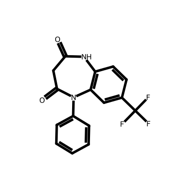 O=C1CC(=O)N(c2ccccc2)c2cc(C(F)(F)F)ccc2N1